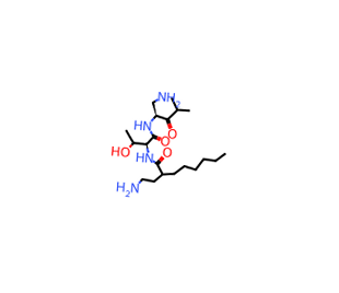 CCCCCCC(CCN)C(=O)N[C@H](C(=O)N[C@@H](CN)C(=O)C(C)C)C(C)O